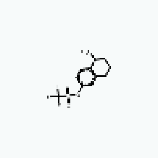 CC1CCCc2cc(OS(=O)(=O)C(F)(F)F)ccc21